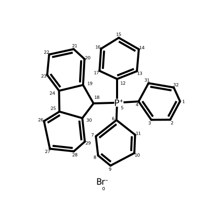 [Br-].c1ccc([P+](c2ccccc2)(c2ccccc2)C2c3ccccc3-c3ccccc32)cc1